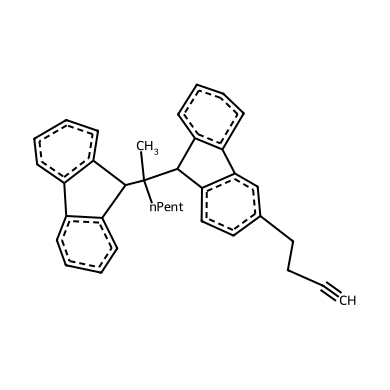 C#CCCc1ccc2c(c1)-c1ccccc1C2C(C)(CCCCC)C1c2ccccc2-c2ccccc21